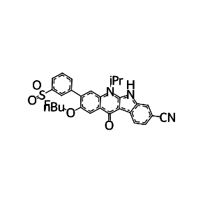 CCCCOc1cc2c(=O)c3c4ccc(C#N)cc4[nH]c3n(C(C)C)c2cc1-c1cccc(S(=O)(=O)F)c1